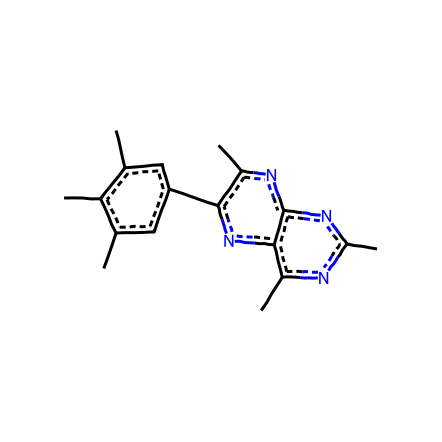 Cc1nc(C)c2nc(-c3cc(C)c(C)c(C)c3)c(C)nc2n1